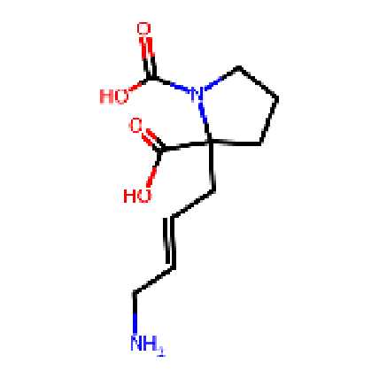 NCC=CCC1(C(=O)O)CCCN1C(=O)O